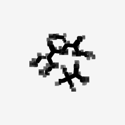 CNC(=O)[C@@H](CS)NC(=O)[C@@H](CS)NC.O=C(O)C(F)(F)F